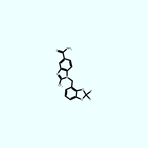 NC(=O)c1ccc2c(c1)nc(C(F)(F)F)n2Cc1cccc2c1OC(F)(F)O2